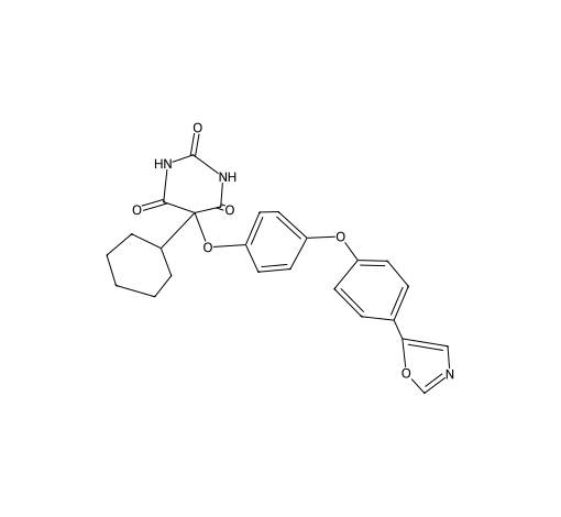 O=C1NC(=O)C(Oc2ccc(Oc3ccc(-c4cnco4)cc3)cc2)(C2CCCCC2)C(=O)N1